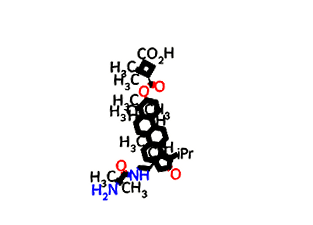 CC(C)C1=C2[C@H]3CC[C@@H]4[C@@]5(C)CC[C@H](OC(=O)[C@H]6C[C@@H](C(=O)O)C6(C)C)C(C)(C)[C@@H]5CC[C@@]4(C)[C@]3(C)CC[C@@]2(CCNC(=O)C(C)(C)N)CC1=O